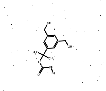 [2H]PC(=O)OC(C)(C)c1cc(CO)cc(CO)c1